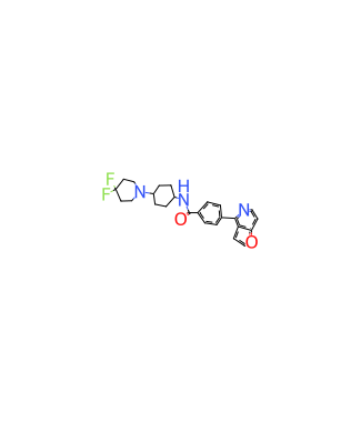 O=C(NC1CCC(N2CCC(F)(F)CC2)CC1)c1ccc(-c2nccc3occc23)cc1